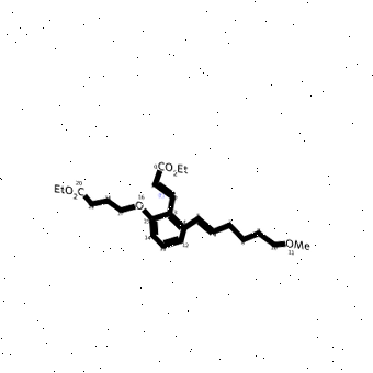 CCOC(=O)/C=C/c1c(C=CCCCCOC)cccc1OCCCC(=O)OCC